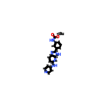 CC(C)(C)OC(=O)Nc1cccc(-c2nc3ccc(Nc4ccncc4)nc3[nH]2)c1